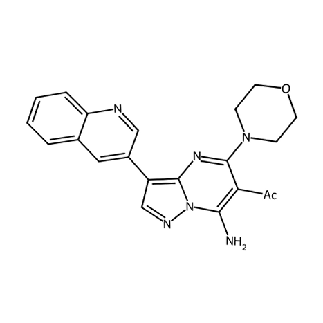 CC(=O)c1c(N2CCOCC2)nc2c(-c3cnc4ccccc4c3)cnn2c1N